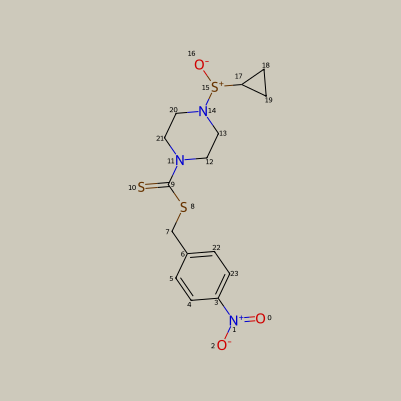 O=[N+]([O-])c1ccc(CSC(=S)N2CCN([S+]([O-])C3CC3)CC2)cc1